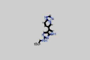 CC(C)(C)CNc1ncc2c(-c3ccc4ncnn4c3)c[nH]c2n1